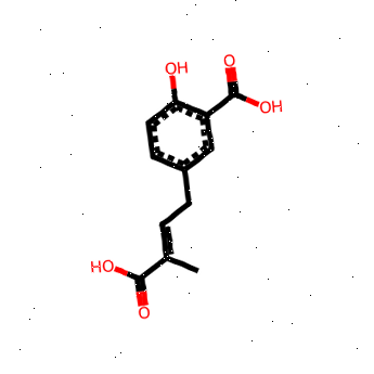 C/C(=C\Cc1ccc(O)c(C(=O)O)c1)C(=O)O